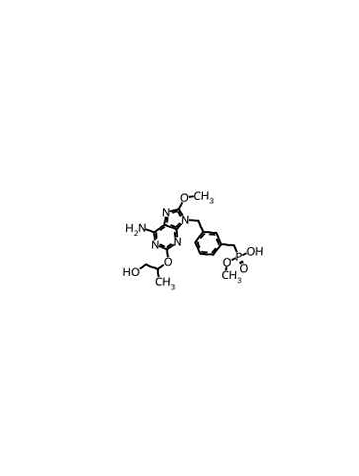 COc1nc2c(N)nc(OC(C)CO)nc2n1Cc1cccc(CP(=O)(O)OC)c1